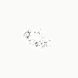 CC(C)(C)OC(=O)NCCCC1(CS(=O)(=O)N2CCC(Oc3ccc(Cl)cn3)CC2)NC(=O)NC1=O